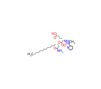 CCCCCCCCCCCCC[C@@H](CC(N)=O)OC(=O)[C@H](CCCC(=O)O)NC(=O)N(C)c1ccccn1